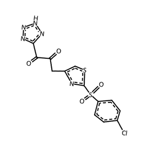 O=C(Cc1csc(S(=O)(=O)c2ccc(Cl)cc2)n1)C(=O)c1nn[nH]n1